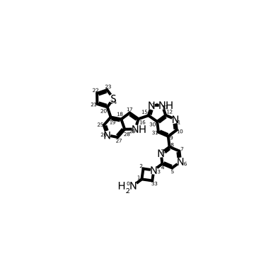 NC1CN(c2cncc(-c3cnc4[nH]nc(-c5cc6c(-c7cccs7)cncc6[nH]5)c4c3)n2)C1